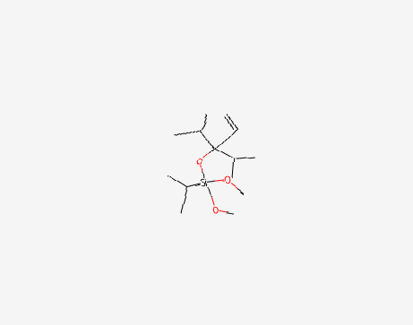 C=CC(O[Si](OC)(OC)C(C)C)(C(C)C)C(C)C